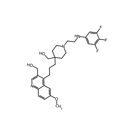 COc1ccc2ncc(CO)c(CCCC3(CO)CCN(CCNc4cc(F)c(F)c(F)c4)CC3)c2c1